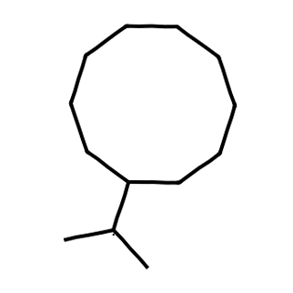 C[C](C)C1CCCCCCCCC1